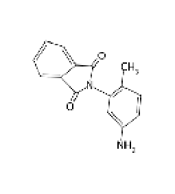 Cc1ccc(N)cc1N1C(=O)c2ccccc2C1=O